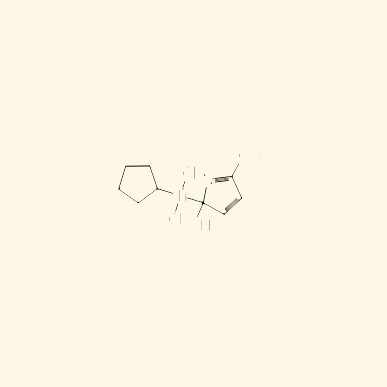 CC1=N[C](C)([Ti]([Cl])([Cl])[CH]2CCCC2)C=C1